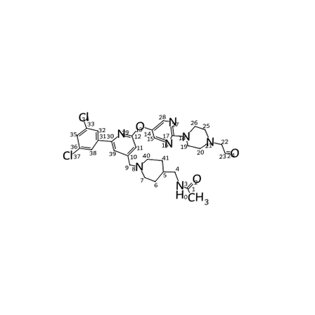 CC(=O)NCC1CCN(Cc2cc(Oc3cnc(N4CCN(CC=O)CC4)nc3)nc(-c3cc(Cl)cc(Cl)c3)c2)CC1